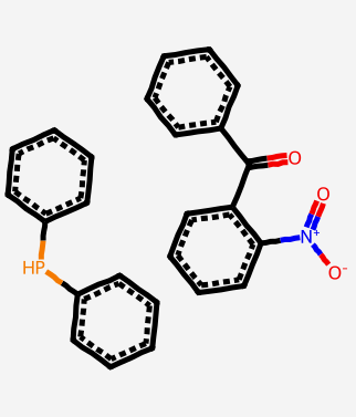 O=C(c1ccccc1)c1ccccc1[N+](=O)[O-].c1ccc(Pc2ccccc2)cc1